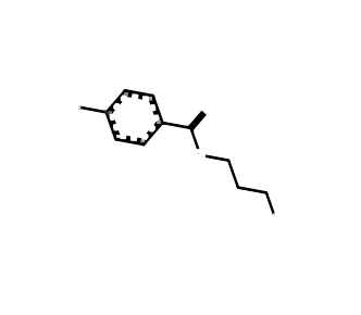 O=C(NCCCBr)c1ccc(I)cc1